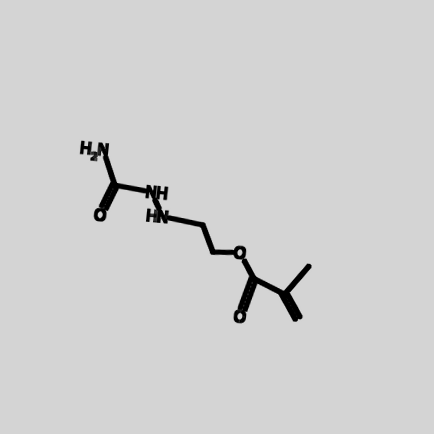 C=C(C)C(=O)OCCNNC(N)=O